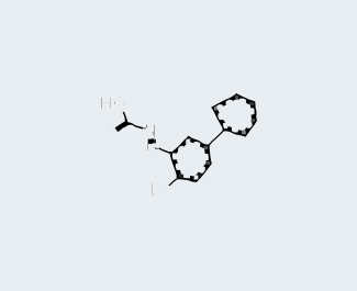 O=C(O)N=Nc1cc(-c2ccccc2)ccc1Br